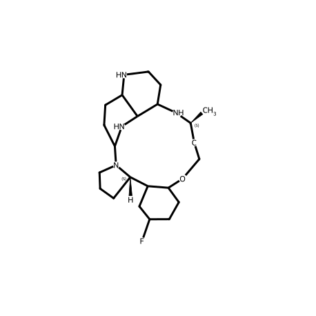 C[C@H]1CCOC2CCC(F)CC2[C@@H]2CCCN2C2CCC3NCCC(N1)C3N2